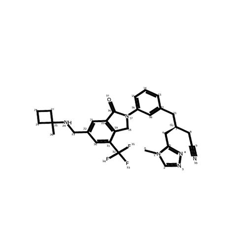 Cn1cnnc1C[C@H](CC#N)Cc1cccc(N2Cc3c(cc(CNC4(C)CCC4)cc3C(F)(F)F)C2=O)c1